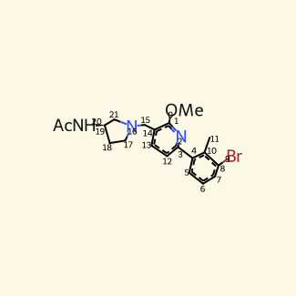 COc1nc(-c2cccc(Br)c2C)ccc1CN1CC[C@@H](NC(C)=O)C1